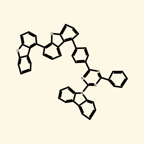 c1ccc(-c2nc(-c3ccc(-c4cccc5oc6c(-c7cccc8oc9ccccc9c78)cccc6c45)cc3)nc(-n3c4ccccc4c4ccccc43)n2)cc1